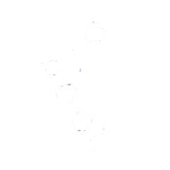 CCOC(=O)C1(c2ccc(-c3ccc(-c4onc(C)c4C(N)C(=O)Cc4ccccc4)cc3)cc2)CC1